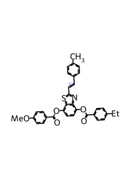 CCc1ccc(C(=O)Oc2ccc(OC(=O)c3ccc(OC)cc3)c3sc(/C=C/c4ccc(C)cc4)nc23)cc1